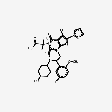 COc1ccc(F)cc1C(Cn1c(=O)n(C(C)(C)C(N)=O)c(=O)c2c(C)c(-n3cccn3)sc21)OC1CCC(O)CC1